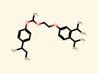 CCC(C)c1ccc(OC(C)OCCOc2ccc(C(C)C)c(C(C)C)c2)cc1